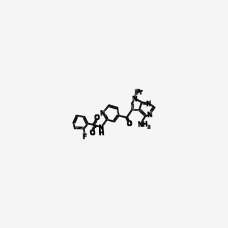 CC(C)n1cc(C(=O)c2ccnc(NS(=O)(=O)c3ccccc3F)c2)c2c(N)ncnc21